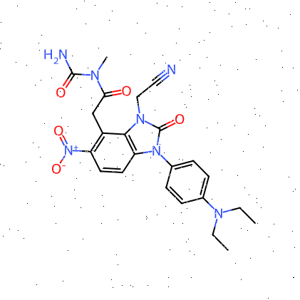 CCN(CC)c1ccc(-n2c(=O)n(CC#N)c3c(CC(=O)N(C)C(N)=O)c([N+](=O)[O-])ccc32)cc1